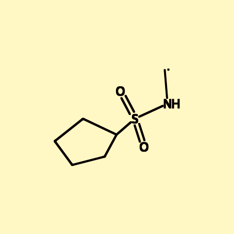 [CH2]NS(=O)(=O)C1CCCC1